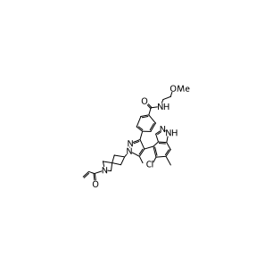 C=CC(=O)N1CC2(CC(n3nc(-c4ccc(C(=O)NCCOC)cc4)c(-c4c(Cl)c(C)cc5[nH]ncc45)c3C)C2)C1